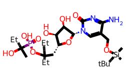 CCC(CC)(C[C@H]1O[C@@H](n2cc(CO[Si](C)(C)C(C)(C)C)c(N)nc2=O)[C@H](O)[C@@H]1O)OP(=O)(O)C(C)(O)CC